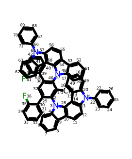 Cc1c(-n2c3ccccc3c3ccc4c(c5ccccc5n4-c4ccccc4)c32)c(-c2ccccc2F)cc(-c2ccccc2F)c1-n1c2ccccc2c2ccc3c(c4ccccc4n3-c3ccccc3)c21